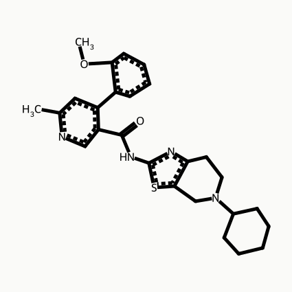 COc1ccccc1-c1cc(C)ncc1C(=O)Nc1nc2c(s1)CN(C1CCCCC1)CC2